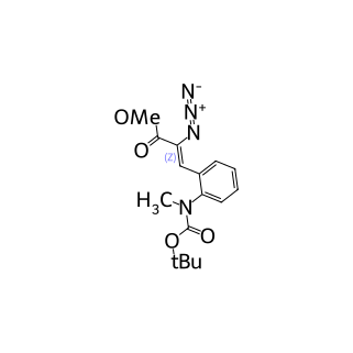 COC(=O)/C(=C/c1ccccc1N(C)C(=O)OC(C)(C)C)N=[N+]=[N-]